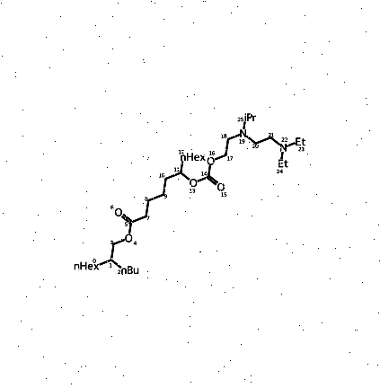 CCCCCCC(CCCC)COC(=O)CCCCC(CCCCCC)OC(=O)OCCN(CCN(CC)CC)C(C)C